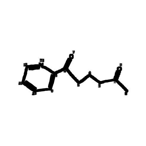 CC(=O)CCCC(=O)c1ccccn1